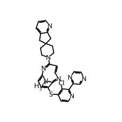 CN1C2=CC=C(Sc3ccnc(-c4cnccn4)c3Cl)/C1=N/C=C/C(N1CCC3(CC1)Cc1cccnc1C3)=N\2